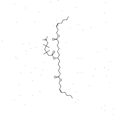 CCCC/C=C\CCOC(=O)CCCCCC(CCCCCC(=O)OCC/C=C\CCCC)OC(=O)CC(C)(C)CC(C)(C)CN(C)C